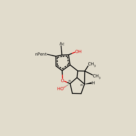 CCCCCc1cc2c(c(O)c1C(C)=O)C1C3[C@@H](CC[C@@]3(O)O2)C1(C)C